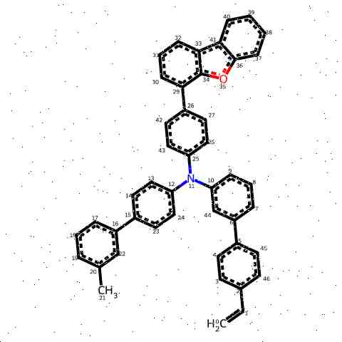 C=Cc1ccc(-c2cccc(N(c3ccc(-c4cccc(C)c4)cc3)c3ccc(-c4cccc5c4oc4ccccc45)cc3)c2)cc1